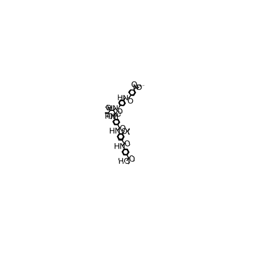 C=C(O)C(OC)C(NC(=O)c1ccc(NC(=O)c2ccc([N+](=O)[O-])cc2)cc1)C(=O)Nc1ccc(C(=O)Nc2ccc(C(=O)Nc3ccc(C(=O)O)cc3)cc2OC(C)C)cc1